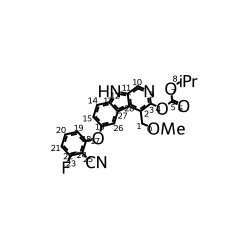 COCc1c(OC(=O)OC(C)C)ncc2[nH]c3ccc(Oc4cccc(F)c4C#N)cc3c12